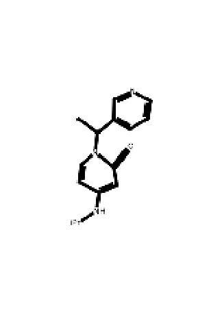 [CH2]C(c1cccnc1)n1ccc(NC(C)C)cc1=O